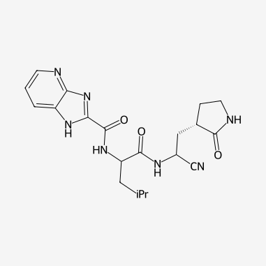 CC(C)CC(NC(=O)c1nc2ncccc2[nH]1)C(=O)NC(C#N)C[C@@H]1CCNC1=O